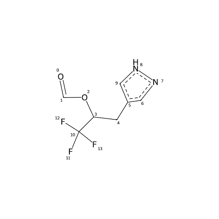 O=COC(Cc1cn[nH]c1)C(F)(F)F